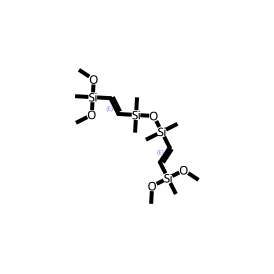 CO[Si](C)(/C=C/[Si](C)(C)O[Si](C)(C)/C=C/[Si](C)(OC)OC)OC